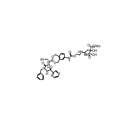 CO[PH](=O)C(O)(CC(=O)NCCOC(=O)N(C)c1ccc2c(c1)COB([C@H](CC(C)C)NC(=O)[C@H](Cc1ccccc1)NC(=O)c1cnccn1)OC2)P(=O)(O)O